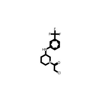 O=C(CCl)N1CCCC(Nc2cccc(C(F)(F)F)c2)C1